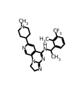 Cc1c(C(C)NC2=NC3=NCCN3c3cnc(C4CCN(C)CC4)cc32)cccc1C(F)(F)F